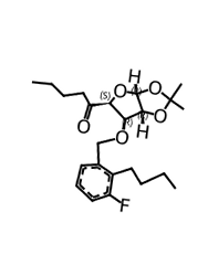 CCCCC(=O)[C@H]1O[C@@H]2OC(C)(C)O[C@@H]2[C@H]1OCc1cccc(F)c1CCCC